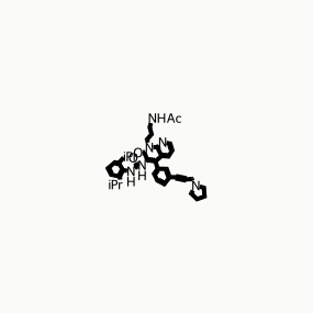 CC(=O)NCCCn1c(=O)c(NC(=O)Nc2c(C(C)C)cccc2C(C)C)c(-c2cccc(C#CCN3CCCC3)c2)c2cccnc21